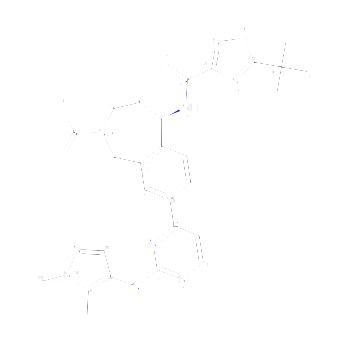 Cc1c(Nc2nccc(-c3ccc4c(c3)CN(C(=O)O)CC[C@H]4NC(=O)c3noc(C(C)(C)C)n3)n2)cnn1C